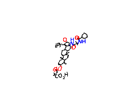 CC(C)C1=C2C3CCC4C(C)(CCC5C(C)C(OC(=O)CC(C)(C)C(=O)O)CCC54C)C3CCC2(NC(=O)C(C)(C)NC(=O)C2CCCCC2)CC1=O